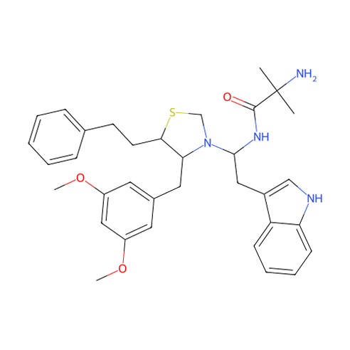 COc1cc(CC2C(CCc3ccccc3)SCN2C(Cc2c[nH]c3ccccc23)NC(=O)C(C)(C)N)cc(OC)c1